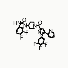 O=C(c1cc(-c2ccccn2)n(-c2cc(F)c(F)c(F)c2)n1)N1CCC(n2c(=O)[nH]c3ccc(F)c(F)c32)CC1